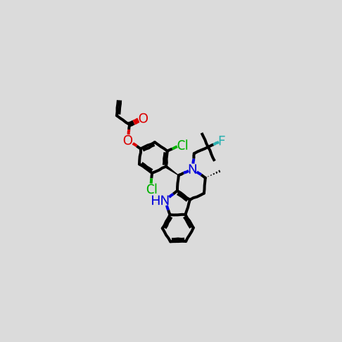 C=CC(=O)Oc1cc(Cl)c([C@@H]2c3[nH]c4ccccc4c3C[C@@H](C)N2CC(C)(C)F)c(Cl)c1